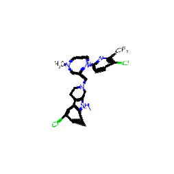 CN1CCN(c2ccc(Cl)c(C(F)(F)F)n2)C(CN2CCc3c([nH]c4ccc(Cl)cc34)C2)C1